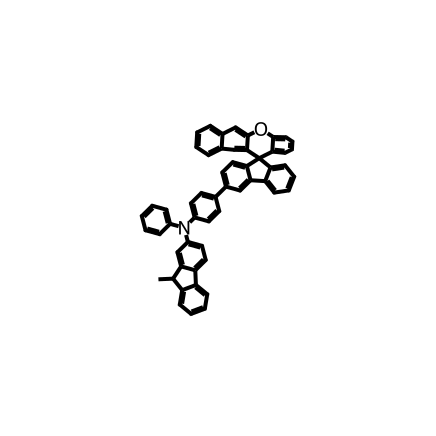 CC1c2ccccc2-c2ccc(N(c3ccccc3)c3ccc(-c4ccc5c(c4)-c4ccccc4C54c5ccccc5Oc5cc6ccccc6cc54)cc3)cc21